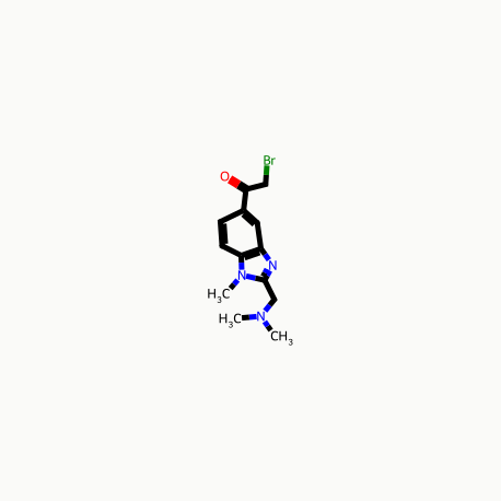 CN(C)Cc1nc2cc(C(=O)CBr)ccc2n1C